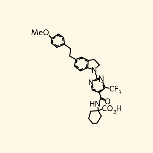 COc1ccc(CCc2ccc3c(c2)CCN3c2ncc(C(=O)NC3(C(=O)O)CCCCC3)c(C(F)(F)F)n2)cc1